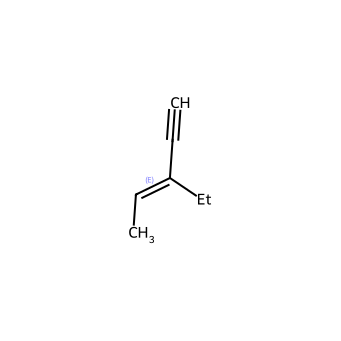 C#C/C(=C/C)CC